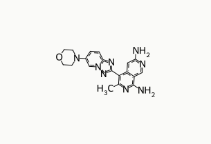 Cc1nc(N)c2cnc(N)cc2c1-c1nc2ccc(N3CCOCC3)cn2n1